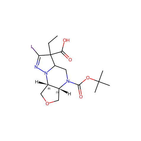 CCC1(C(=O)O)C(I)=NN2C1CN(C(=O)OC(C)(C)C)[C@@H]1COC[C@@H]12